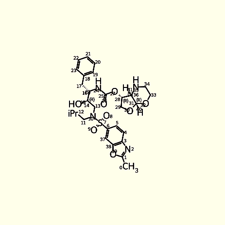 Cc1nc2ccc(S(=O)(=O)N(CC(C)C)C[C@@H](O)[C@H](Cc3ccccc3)NC(=O)O[C@H]3CO[C@H]4OCCN[C@H]43)cc2o1